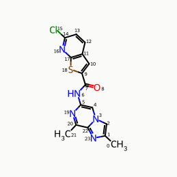 Cc1cn2cc(NC(=O)c3cc4ccc(Cl)nc4s3)nc(C)c2n1